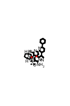 CS(=O)(=O)c1c([C@H]2C[C@H]3CC[C@@H](C2)N3C(=O)c2cccnc2N)nc2c(-c3ccc(-c4ccccc4)nc3)cnn2c1N